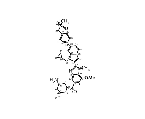 COc1cc(C(=O)N2C[C@H](N)C[C@@H](F)C2)cc2nc(-c3cc4ccc(-c5ccc(CS(C)(=O)=O)cc5)cc4n3CC3CC3)n(C)c12